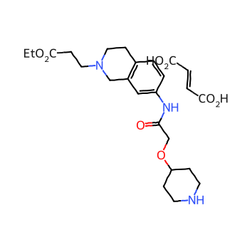 CCOC(=O)CCN1CCc2ccc(NC(=O)COC3CCNCC3)cc2C1.O=C(O)C=CC(=O)O